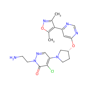 Cc1noc(C)c1-c1cc(O[C@@H]2CCN(c3cnn(CCN)c(=O)c3Cl)C2)ncn1